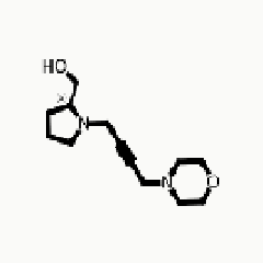 OC[C@@H]1CCCN1CC#CCN1CCOCC1